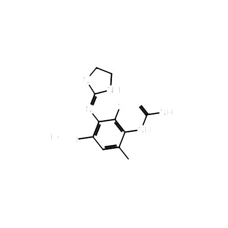 Cc1cc(Cl)c(N=C2NCCN2)c(Cl)c1NC(N)=S.Cl